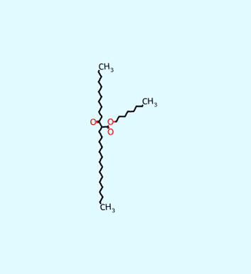 CCCCCCCCCCCCCCCCC(C(=O)CCCCCCCCCCC)C(=O)OCCCCCCCC